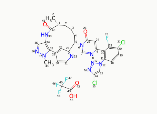 C[C@@H]1CCC[C@H](n2cnc(-c3c(-n4cc(Cl)nn4)ccc(Cl)c3F)cc2=O)c2cc(ccn2)-c2c(cnn2C)NC1=O.O=C(O)C(F)(F)F